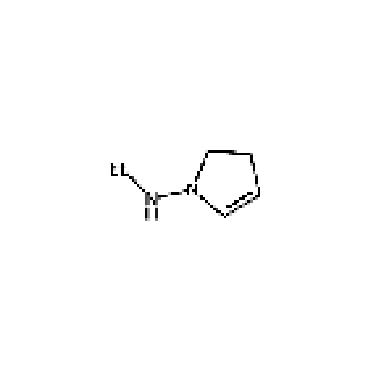 CCNN1C=CCC1